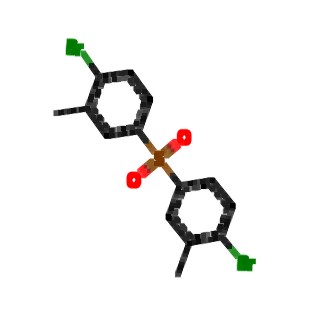 Cc1cc(S(=O)(=O)c2ccc(Br)c(C)c2)ccc1Br